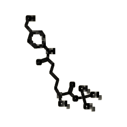 CN(CCCCC(=O)Nc1ccc(CO)cc1)C(=O)OC(C)(C)C